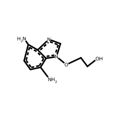 Nc1ccc(N)c2c1ncn2OCCO